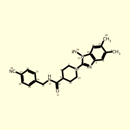 Cc1cc2nc(N3CCC(C(=O)NCc4ccc(C#N)cc4)CC3)n(C(C)C)c2cc1C